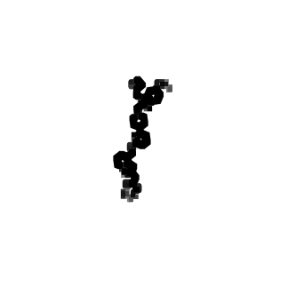 COC(=O)Cc1cc2c(COc3cccc(C4CCN(Cc5nc6ccc(C)cc6n5CC5CCO5)CC4)n3)cccn2n1